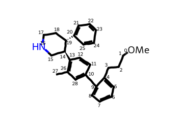 COCCCc1ccccc1-c1ccc([C@H]2CNCC[C@@H]2c2ccccc2)c(C)c1